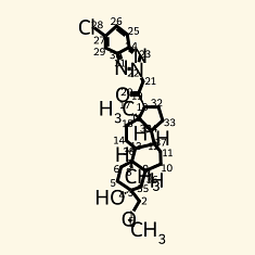 COC[C@@]1(O)CC[C@@]2(C)[C@@H](CC[C@@H]3[C@@H]2CC[C@]2(C)[C@@H](C(=O)Cn4nc5ccc(Cl)cc5n4)CC[C@@H]32)C1